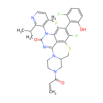 C=CC(=O)N1CCN2c3nc(=O)n(-c4c(C)ccnc4C(C)C)c4c(F)c(-c5c(O)cccc5F)c(F)c(c34)SCC2C1